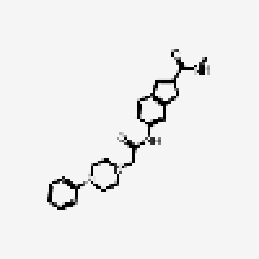 CNC(=O)C1=Cc2ccc(NC(=O)CN3CCN(c4ccccc4)CC3)cc2C1